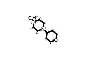 [CH2-][NH+]1CCN(C2CCOCC2)CC1